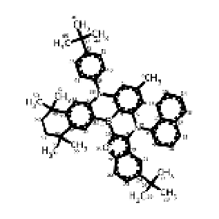 Cc1cc2c3c(c1)N(c1cccc4ccccc14)c1c(oc4ccc(C(C)(C)C)cc14)B3c1cc3c(cc1N2c1ccc(C(C)(C)C)cc1)C(C)(C)CCC3(C)C